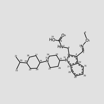 CON=Cc1c(CNC(=O)O)n(C2CCN(C3CCC(C(C)C)CC3)CC2)c2ccccc12